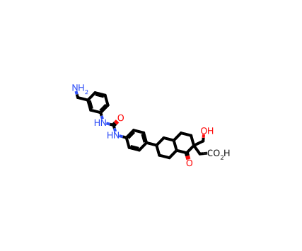 NCc1cccc(NC(=O)Nc2ccc(C3CCC4C(=O)C(CO)(CC(=O)O)CCC4C3)cc2)c1